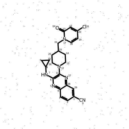 N#Cc1ccc2nc(NC3CC3)c(N3CCC(Cn4ccc(Cl)cc4=O)CC3)nc2c1